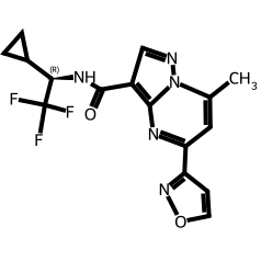 Cc1cc(-c2ccon2)nc2c(C(=O)N[C@H](C3CC3)C(F)(F)F)cnn12